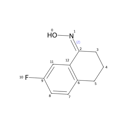 O/N=C1/CCCc2ccc(F)cc21